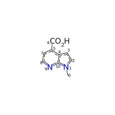 Cn1ccc2c(C(=O)O)ccnc21